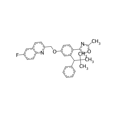 Cc1nc(-c2ccc(OCc3ccc4cc(F)ccc4n3)cc2C(c2ccccc2)C(C)(C)C)co1